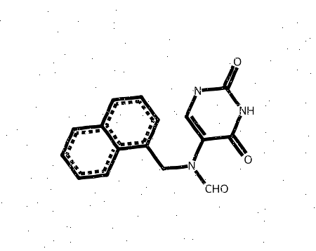 O=CN(Cc1cccc2ccccc12)C1=C[N]C(=O)NC1=O